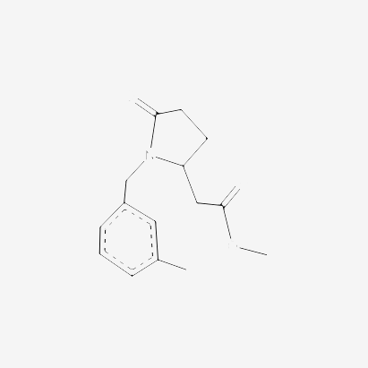 COC(=O)CC1CCC(=O)N1Cc1cccc(F)c1